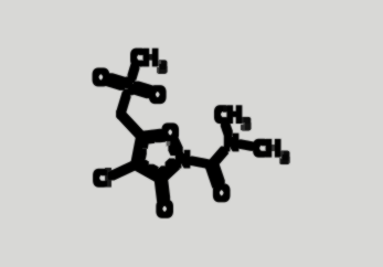 CN(C)C(=O)n1oc(CS(C)(=O)=O)c(Cl)c1=O